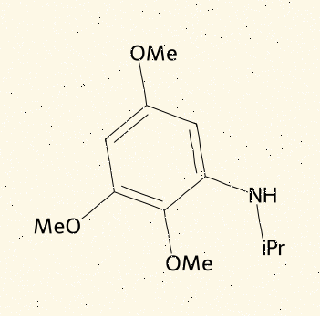 COc1cc(NC(C)C)c(OC)c(OC)c1